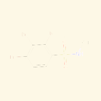 CNS(=O)(=O)c1ccc(Br)c(Br)c1Br